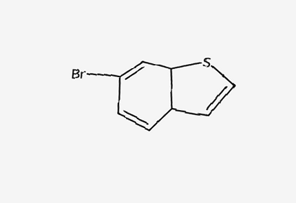 BrC1=CC2SC=CC2C=C1